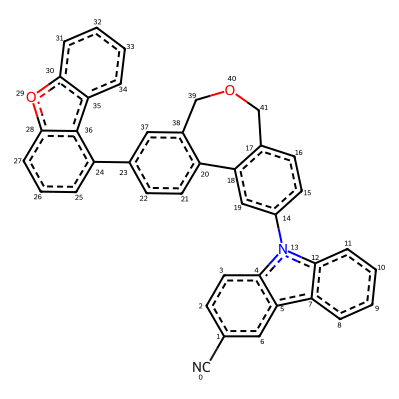 N#Cc1ccc2c(c1)c1ccccc1n2-c1ccc2c(c1)-c1ccc(-c3cccc4oc5ccccc5c34)cc1COC2